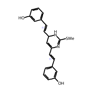 CSC1=NC(/C=C/c2cccc(O)c2)=CC(/C=C/c2cccc(O)c2)N1